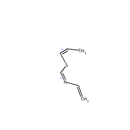 C=C/N=C\S/C=C\C